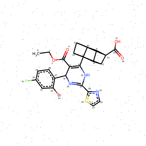 CCOC(=O)C1=C(C23C4C5C2C2C3C4C52C(=O)O)NC(c2nccs2)=NC1c1ccc(F)cc1Br